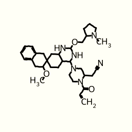 C=CC(=O)N1CCN(C2NC(OCC3CCCN3C)NC3CC4(CCC32)Cc2ccccc2CC4OC)CC1CC#N